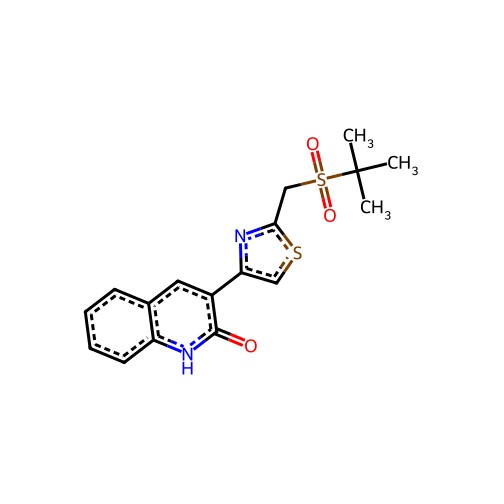 CC(C)(C)S(=O)(=O)Cc1nc(-c2cc3ccccc3[nH]c2=O)cs1